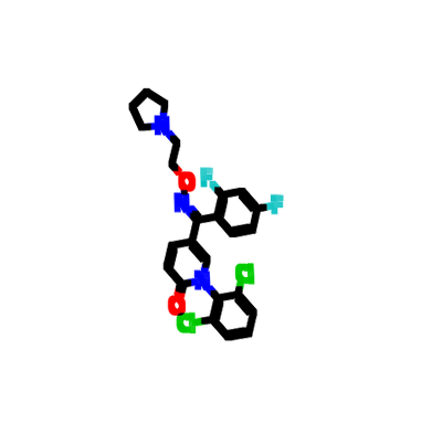 O=c1ccc(C(=NOCCN2CCCC2)c2ccc(F)cc2F)cn1-c1c(Cl)cccc1Cl